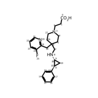 O=C(O)CCN1CCC(CN[C@@H]2C[C@H]2c2ccccc2)(Cc2ncccc2F)CC1